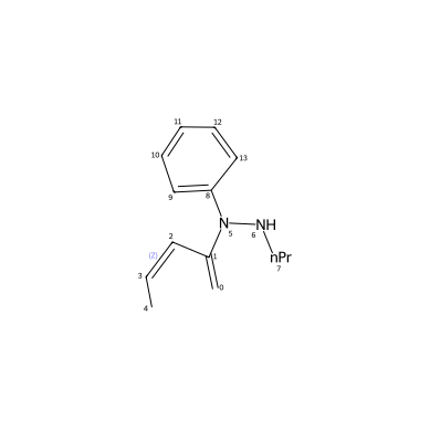 C=C(/C=C\C)N(NCCC)c1ccccc1